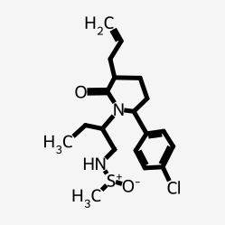 C=CCC1CCC(c2ccc(Cl)cc2)N(C(CC)CN[S+](C)[O-])C1=O